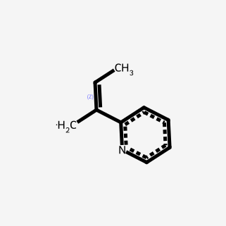 [CH2]/C(=C/C)c1ccccn1